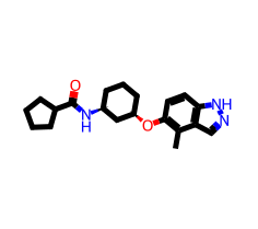 Cc1c(O[C@@H]2CCC[C@H](NC(=O)C3CCCC3)C2)ccc2[nH]ncc12